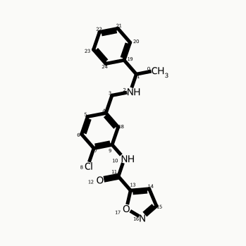 CC(NCc1ccc(Cl)c(NC(=O)c2ccno2)c1)c1ccccc1